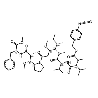 CC[C@H](C)[C@@H]([C@@H](CC(=O)N1CCC[C@H]1[C@H](OC)[C@@H](C)C(=O)N[C@@H](Cc1ccccc1)C(=O)OC)OC)N(C)C(=O)[C@@H](NC(=O)[C@H](C(C)C)N(C)C(=O)OCc1ccc(N=[N+]=[N-])cc1)C(C)C